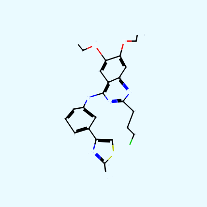 CCOc1cc2nc(CCCCl)nc(Nc3cccc(-c4csc(C)n4)c3)c2cc1OCC